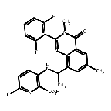 Cc1cc(C(C)Nc2ccc(Cl)nc2C(=O)O)c2nc(-c3c(F)cccc3F)n(C)c(=O)c2c1